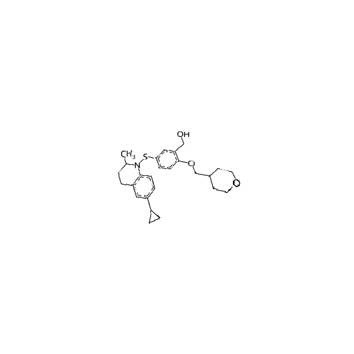 CC1CCc2cc(C3CC3)ccc2N1Sc1ccc(OCC2CCOCC2)c(CO)c1